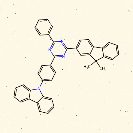 CC1(C)c2ccccc2-c2ccc(-c3nc(-c4ccccc4)nc(-c4ccc(-n5c6ccccc6c6ccccc65)cc4)n3)cc21